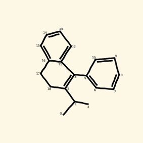 CC(C)C1=C(c2ccccc2)c2ccccc2CC1